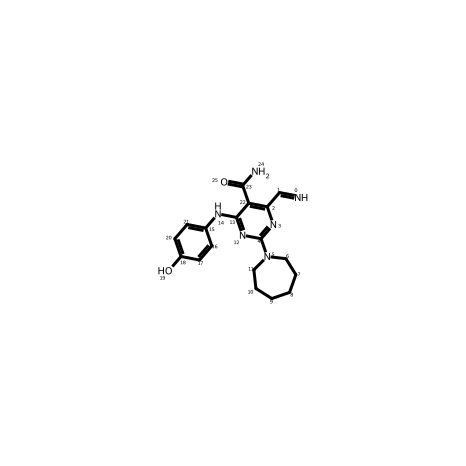 N=Cc1nc(N2CCCCCC2)nc(Nc2ccc(O)cc2)c1C(N)=O